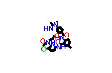 CC(=N)N(C)c1ccc(C(=O)Nc2ccc(C)cc2C(=O)Nc2ccc(Cl)cn2)c(OCCCNC(C)=O)c1